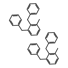 Cc1cccc(Cc2ccccc2)c1Cc1ccccc1.Cc1cccc(Cc2ccccc2)c1Cc1ccccc1